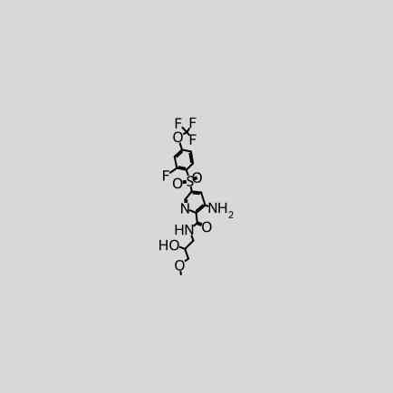 COCC(O)CNC(=O)c1ncc(S(=O)(=O)c2ccc(OC(F)(F)F)cc2F)cc1N